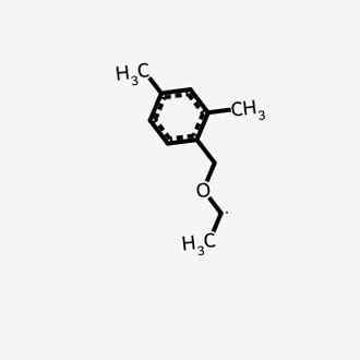 C[CH]OCc1ccc(C)cc1C